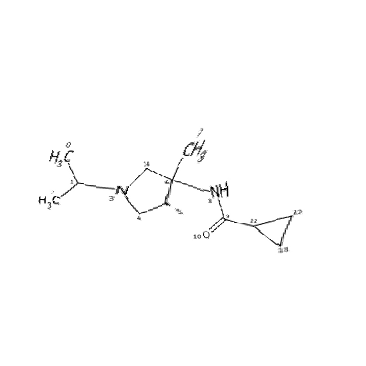 CC(C)N1CCC(C)(NC(=O)C2CC2)C1